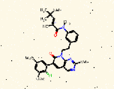 CNc1ncc2cc(-c3cc(OC)cc(OC)c3Cl)c(=O)n(CCc3cccc(N(C)C(=O)/C(C#N)=C/C(C)(C)NC)c3)c2n1